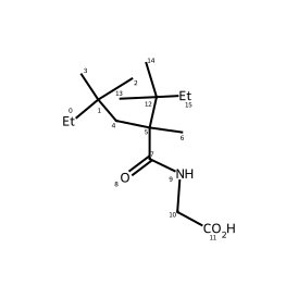 CCC(C)(C)CC(C)(C(=O)NCC(=O)O)C(C)(C)CC